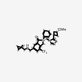 CO[C@H]1C[C@](c2cccc(N3Cc4c(cc(CNCC5(C)CC5)cc4C(F)(F)F)C3=O)c2)(c2nncn2C)C1